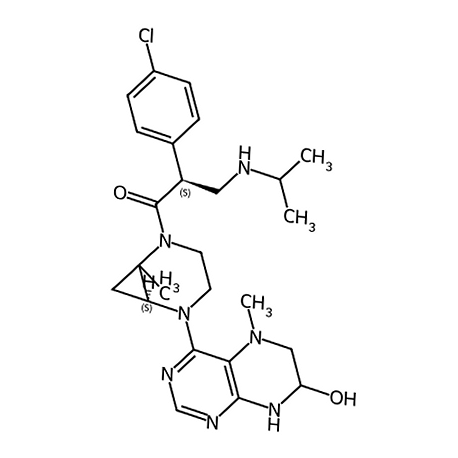 CC(C)NC[C@@H](C(=O)N1CCN(c2ncnc3c2N(C)CC(O)N3)[C@H]2CC21C)c1ccc(Cl)cc1